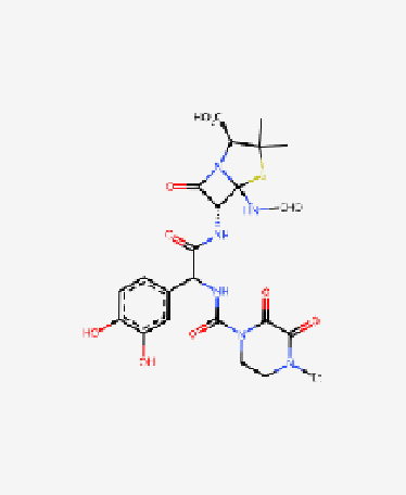 CCN1CCN(C(=O)NC(C(=O)N[C@@H]2C(=O)N3[C@@H](C(=O)O)C(C)(C)SC23NC=O)c2ccc(O)c(O)c2)C(=O)C1=O